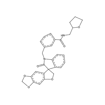 O=C(NCC1CCCO1)c1cccc(CN2C(=O)C3(COc4cc5c(cc43)OCO5)c3ccccc32)c1